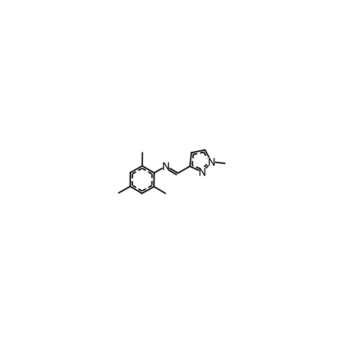 Cc1cc(C)c(/N=C/c2ccn(C)n2)c(C)c1